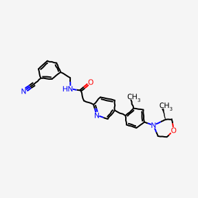 Cc1cc(N2CCOC[C@@H]2C)ccc1-c1ccc(CC(=O)NCc2cccc(C#N)c2)nc1